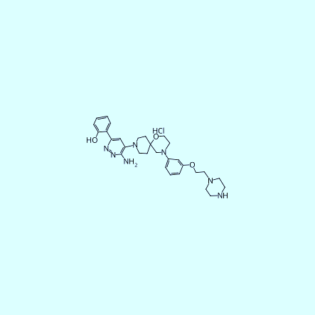 Cl.Nc1nnc(-c2ccccc2O)cc1N1CCC2(CC1)CN(c1cccc(OCCN3CCNCC3)c1)CCO2